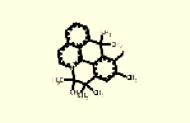 Cc1cc2c3c(c1F)C(C)(C)c1cccc4cc[n+](c-3c14)C(C)(C)C2(C)C